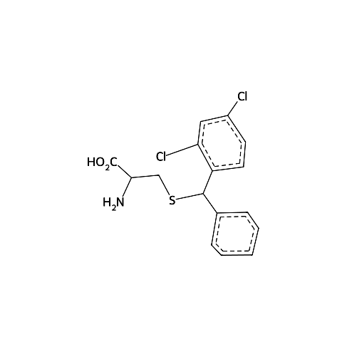 NC(CSC(c1ccccc1)c1ccc(Cl)cc1Cl)C(=O)O